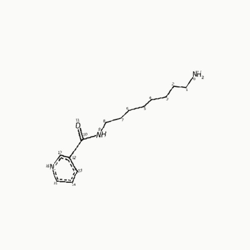 NCCCCCCCCNC(=O)c1cccnc1